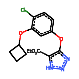 CCOC(=O)c1[nH]nnc1Oc1ccc(Cl)c(OC2CCC2)c1